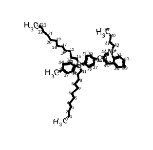 CCCCCCCCCCCC[B-](CCCCCCCCCCCC)(c1ccc(C)cc1)c1ccc(C)cc1.CCCC[n+]1cccc2ccccc21